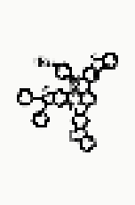 CC(C)(C)c1ccc(Nc2cc3sc4ccccc4c3cc2-c2ccc3c4cc5c(cc4n4c3c2Bc2cc3sc(-c6ccccc6)c(-c6ccccc6)c3cc2-4)oc2ccccc25)cc1